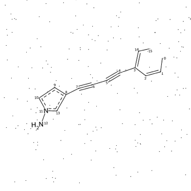 C/C=C\C(C#CC#Cc1ccn(N)c1)=C/C